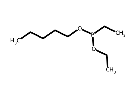 CCCCCOP(CC)OCC